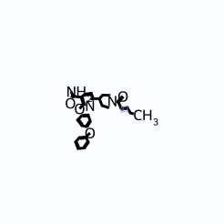 CC/C=C/C(=O)N1CCC(c2ccc(C(N)=O)c(Oc3ccc(Oc4ccccc4)cc3)n2)CC1